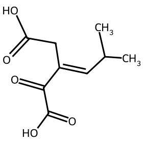 CC(C)/C=C(\CC(=O)O)C(=O)C(=O)O